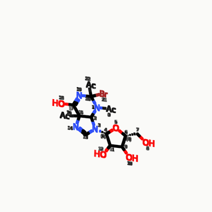 CC(=O)N1C2N([C@@H]3O[C@H](CO)C(O)C3O)C=NC2(C(C)=O)C(O)=NC1(Br)C(C)=O